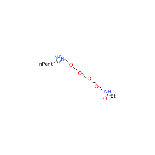 CCCCCc1cn(CCOCCOCCOCCOCCNC(=O)CC)nn1